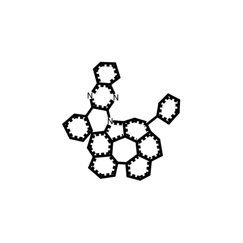 c1ccc(-c2nc3ccccc3nc2-n2c3ccc4cccc5c4c3c3c4c(ccc6cccc-5c64)c(-c4ccccc4)cc32)cc1